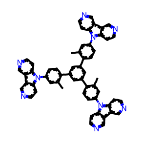 Cc1cc(-n2c3ccncc3c3cnccc32)ccc1-c1cc(-c2ccc(-n3c4ccncc4c4cnccc43)cc2C)cc(-c2ccc(-n3c4ccncc4c4cnccc43)cc2C)c1